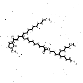 CCCCCCCCCCC(CCCCCCCCC(=O)OCCCC(CCCCC)CCCCC)CCC(=O)C1CCN(C)C1